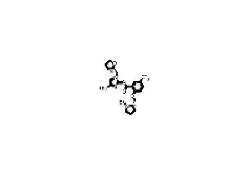 CCN1CCC[C@H]1COc1ccc(C(F)(F)F)cc1C(=O)/N=c1\sc(C(C)(C)C)cn1C[C@H]1CCCO1